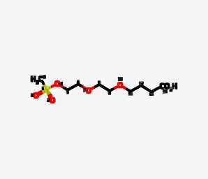 CS(=O)(=O)OCCOCCOCCCC(=O)O